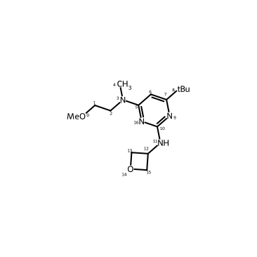 COCCN(C)c1cc(C(C)(C)C)nc(NC2COC2)n1